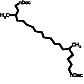 CCCCCCCCCCCCCCC(C)CCCCCCCCCCCC(C)CCCCCCCCCCCC